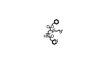 CN(C)CCSSC(CC(C)(C)NC(=O)Cc1cccnc1)C(=O)OCc1ccccc1